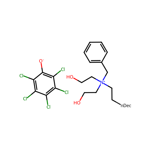 CCCCCCCCCCCC[N+](CCO)(CCO)Cc1ccccc1.[O-]c1c(Cl)c(Cl)c(Cl)c(Cl)c1Cl